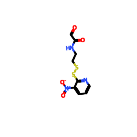 O=CC(=O)NCCSSc1ncccc1[N+](=O)[O-]